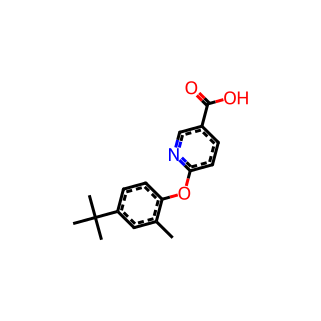 Cc1cc(C(C)(C)C)ccc1Oc1ccc(C(=O)O)cn1